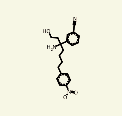 N#Cc1cccc(C(N)(CCO)CCCCc2ccc([N+](=O)[O-])cc2)c1